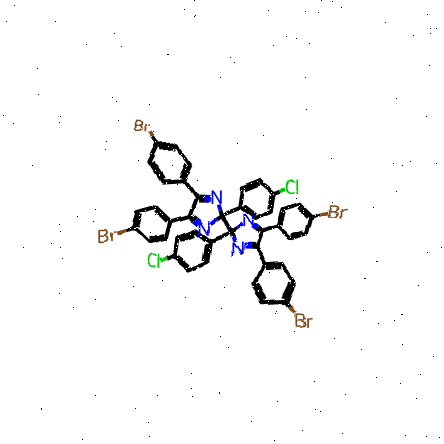 Clc1ccc(C2(C3(c4ccc(Cl)cc4)N=C(c4ccc(Br)cc4)C(c4ccc(Br)cc4)=N3)N=C(c3ccc(Br)cc3)C(c3ccc(Br)cc3)=N2)cc1